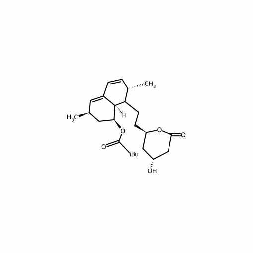 CCC(C)C(=O)O[C@H]1C[C@@H](C)C=C2C=C[C@H](C)C(CC[C@@H]3C[C@@H](O)CC(=O)O3)[C@H]21